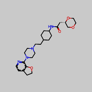 O=C(C[C@H]1COCCO1)NC1CCC(CCN2CCN(c3nccc4c3OCC4)CC2)CC1